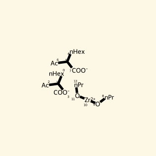 CCCCCCC(C(C)=O)C(=O)[O-].CCCCCCC(C(C)=O)C(=O)[O-].CCC[O][Zr+2][O]CCC